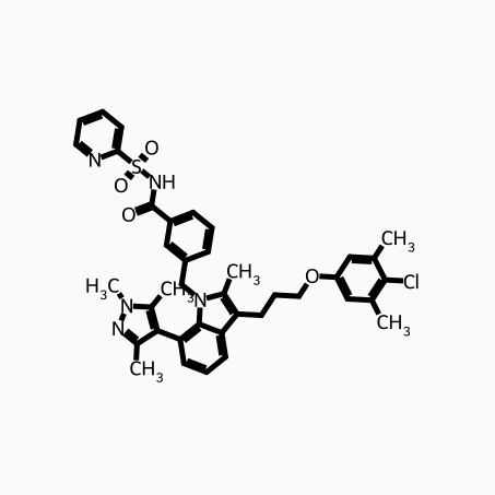 Cc1cc(OCCCc2c(C)n(Cc3cccc(C(=O)NS(=O)(=O)c4ccccn4)c3)c3c(-c4c(C)nn(C)c4C)cccc23)cc(C)c1Cl